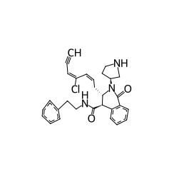 C#C/C=C(Cl)\C=C/C[C@H]1[C@H](C(=O)NCCc2ccccc2)c2ccccc2C(=O)N1[C@H]1CCNC1